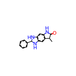 CC1C(=O)Nc2cc3c(cc21)NC(c1ccccc1)N3